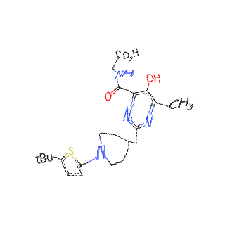 Cc1nc(CC2CCN(c3ccc(C(C)(C)C)s3)CC2)nc(C(=O)NCC(=O)O)c1O